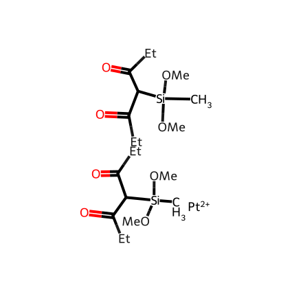 CCC(=O)C(C(=O)CC)[Si](C)(OC)OC.CCC(=O)C(C(=O)CC)[Si](C)(OC)OC.[Pt+2]